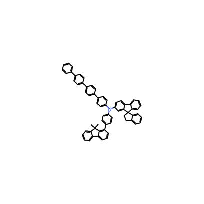 CC1(C)c2ccccc2-c2cccc(-c3ccc(N(c4ccc(-c5ccc(-c6ccc(-c7ccccc7)cc6)cc5)cc4)c4ccc5c(c4)C4(CCc6ccccc64)c4ccccc4-5)cc3)c21